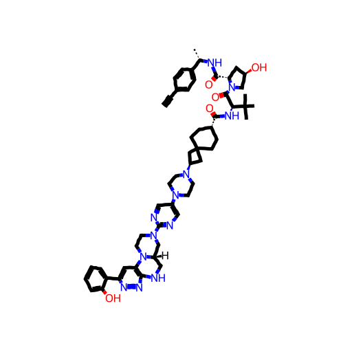 C#Cc1ccc([C@H](C)NC(=O)[C@@H]2C[C@@H](O)CN2C(=O)[C@@H](NC(=O)[C@H]2CCC3(CC2)C[C@H](N2CCN(c4cnc(N5CCN6c7cc(-c8ccccc8O)nnc7NC[C@H]6C5)nc4)CC2)C3)C(C)(C)C)cc1